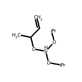 C=CC(C)O[SiH](OC(C)C)OC(C)C